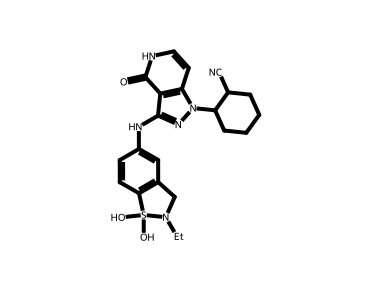 CCN1Cc2cc(Nc3nn(C4CCCCC4C#N)c4cc[nH]c(=O)c34)ccc2S1(O)O